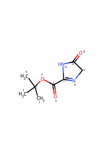 CC(C)(C)OC(=O)C1=NCC(=O)N1